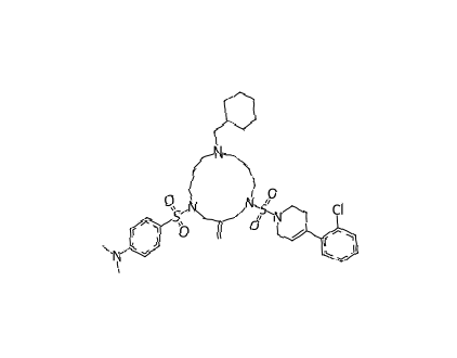 C=C1CN(S(=O)(=O)c2ccc(N(C)C)cc2)CCCN(CC2CCCCC2)CCCN(S(=O)(=O)N2CC=C(c3ccccc3Cl)CC2)C1